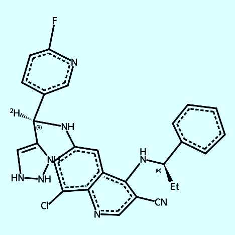 [2H][C@](Nc1cc(Cl)c2ncc(C#N)c(N[C@H](CC)c3ccccc3)c2c1)(C1=CNNN1)c1ccc(F)nc1